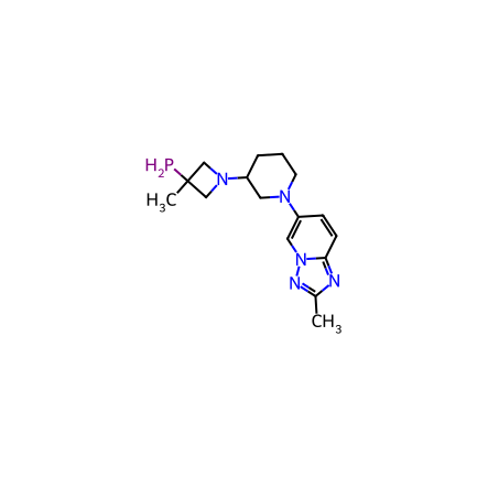 Cc1nc2ccc(N3CCCC(N4CC(C)(P)C4)C3)cn2n1